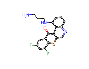 NCCCNc1cccc2ncc3sc4c(F)cc(F)cc4c(=O)c3c12